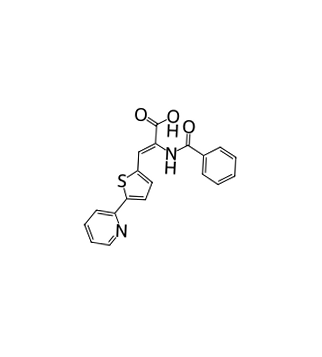 O=C(O)/C(=C/c1ccc(-c2ccccn2)s1)NC(=O)c1ccccc1